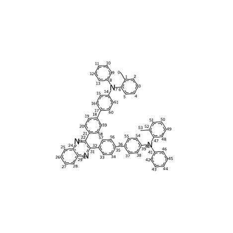 Cc1ccccc1N(c1ccccc1)c1ccc(-c2ccc(-c3nc4ccccc4nc3-c3ccc(-c4ccc(N(c5ccccc5)c5ccccc5C)cc4)cc3)cc2)cc1